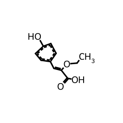 CCO/C(=C\c1ccc(O)cc1)C(=O)O